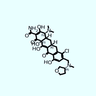 CN(C)[C@@H]1C(O)=C(C(N)=O)C(=O)[C@@]2(O)C(O)=C3C(=O)c4c(O)cc(CN(C)[C@@H]5CCOC5)c(Cl)c4C[C@H]3C[C@@H]12